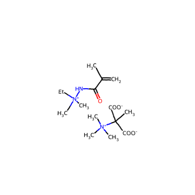 C=C(C)C(=O)N[N+](C)(C)CC.CC(C(=O)[O-])(C(=O)[O-])[N+](C)(C)C